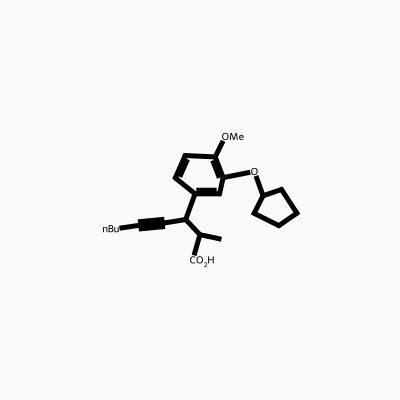 CCCCC#CC(c1ccc(OC)c(OC2CCCC2)c1)C(C)C(=O)O